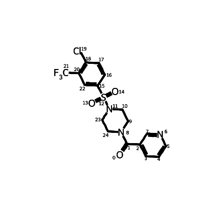 O=C(c1cccnc1)N1CCN(S(=O)(=O)c2ccc(Cl)c(C(F)(F)F)c2)CC1